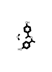 CC(OC(C)c1ccc(O)cc1)c1ccc(O)cc1.COC